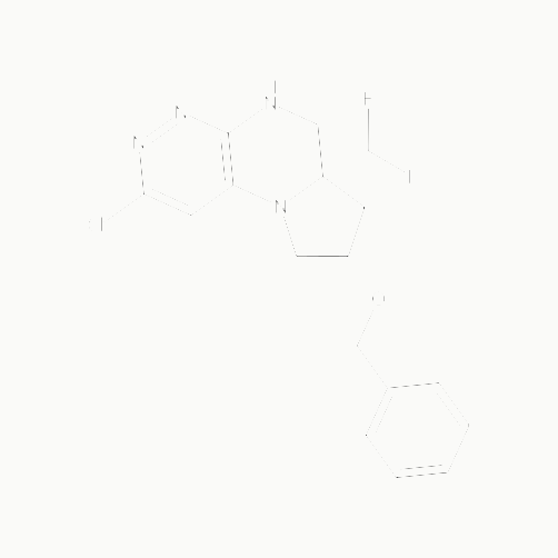 FC(F)[C@@]12CNc3nnc(Cl)cc3N1C[C@@H](OCc1ccccc1)C2